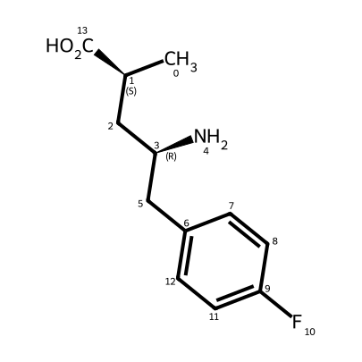 C[C@@H](C[C@@H](N)Cc1ccc(F)cc1)C(=O)O